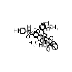 COc1cccc(OC)c1-c1cc(C(=O)NC2(C(=O)O)C3CC4CC(C3)CC2C4)nn1-c1ccc(C(=O)NC2CCNCC2)cc1C(C)C.Cl